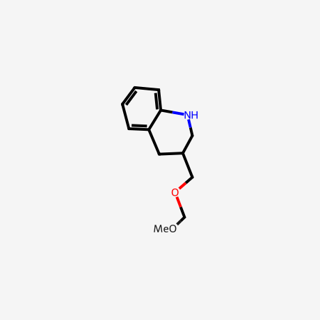 COCOCC1CNc2ccccc2C1